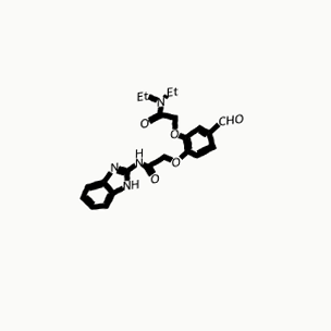 CCN(CC)C(=O)COc1cc(C=O)ccc1OCC(=O)Nc1nc2ccccc2[nH]1